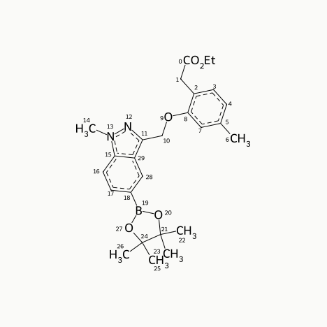 CCOC(=O)Cc1ccc(C)cc1OCc1nn(C)c2ccc(B3OC(C)(C)C(C)(C)O3)cc12